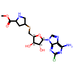 COC(=O)C1CC(SC[C@H]2O[C@@H](n3cnc4c(N)nc(Cl)nc43)[C@H](O)[C@H]2O)CN1